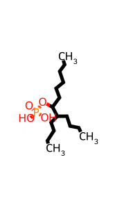 CCCCCCC(OP(=O)(O)O)C(CCCC)CCCC